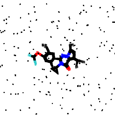 CCC(CC)c1cc(C)n2nc(-c3cc(C)c(OC(F)F)cc3C)n(C3CC3)c(=O)c12